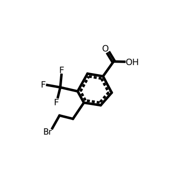 O=C(O)c1ccc(CCBr)c(C(F)(F)F)c1